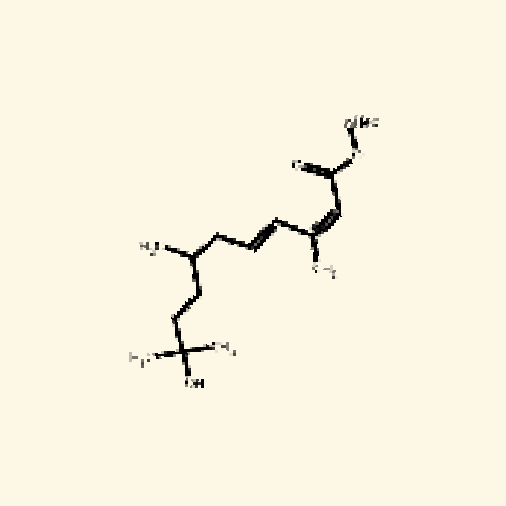 CCCCCCOC(=O)C=C(C)C=CCC(C)CCC(C)(C)O